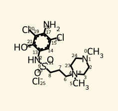 CN1CC[N+](C)(CCCS(=O)(=O)Nc2cc(Cl)c(N)c(Cl)c2O)CC1.[Cl-]